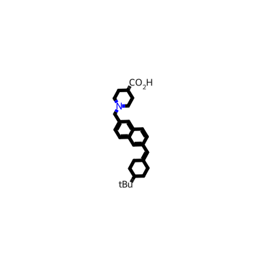 CC(C)(C)C1CCC(=Cc2ccc3cc(CN4CCC(C(=O)O)CC4)ccc3c2)CC1